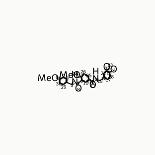 COc1ccc(CNC(=O)c2cc(C(=O)NCc3ccc4c(c3)OCO4)ccc2OC)cc1